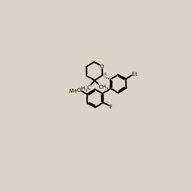 CCc1ccc(-c2cc(OC)ccc2F)c([C@H]2OCCCC2(C)C)c1